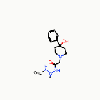 CN(NC=O)NC(=O)CN1CCC(O)(c2ccccc2)CC1